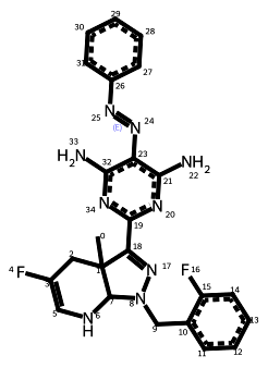 CC12CC(F)=CNC1N(Cc1ccccc1F)N=C2c1nc(N)c(/N=N/c2ccccc2)c(N)n1